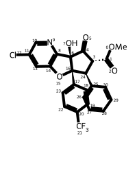 COC(=O)[C@H]1C(=O)[C@@]2(O)c3ncc(Cl)cc3O[C@@]2(c2ccc(C(F)(F)F)cc2)[C@@H]1c1ccccc1